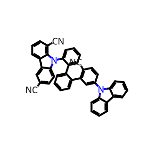 N#Cc1ccc2c(c1)c1cccc(C#N)c1n2-c1ccccc1-c1ccccc1-c1cc(-n2c3ccccc3c3ccccc32)ccc1C#N